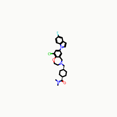 CN(C)C(=O)[C@H]1CC[C@@H](CN2CCOc3c(Cl)cc(-n4ccc5cc(F)ccc54)cc3C2)CC1